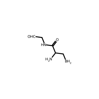 BCC(N)C(=O)NCC=O